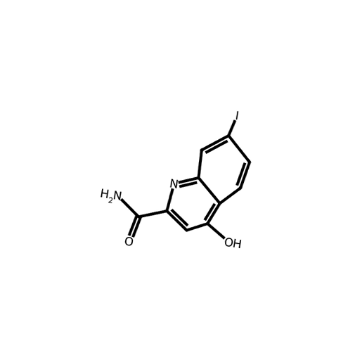 NC(=O)c1cc(O)c2ccc(I)cc2n1